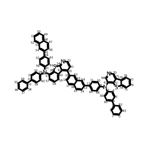 c1ccc(-c2ccc(N(c3ccc(-c4ccc5ccc(-c6ccnc7sc8c(N(c9ccc(-c%10ccccc%10)cc9)c9ccc(-c%10ccc%11ccccc%11c%10)cc9)cccc8c67)cc5c4)cc3)c3cncc4c3sc3ccccc34)cc2)cc1